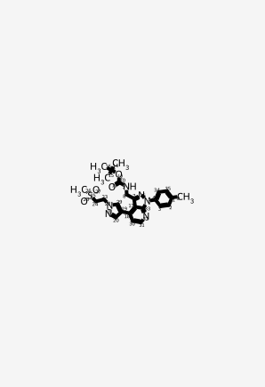 Cc1ccc(-n2nc(CNC(=O)OC(C)(C)C)c3c(-c4cnn(CCS(C)(=O)=O)c4)ccnc32)cc1